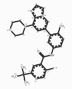 Cc1ccc(NC(=O)c2cc(C(C)(C)C)ncc2F)cc1-c1cc(N2CCOCC2)c2nccn2c1